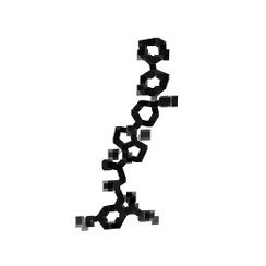 Cn1nc(NCC(=O)N2CC[C@H]3[C@@H]2CCN3C2CCC(O)(c3ccc(-c4ncccn4)cn3)CC2)c2cc(C(F)(F)F)ccc21